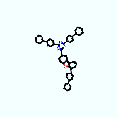 c1ccc(-c2ccc(-c3nc(-c4ccc(-c5ccccc5)cc4)nc(-c4ccc5oc6c(-c7ccc(-c8ccccc8)cc7)cccc6c5c4)n3)cc2)cc1